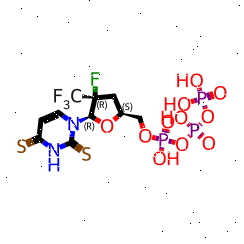 O=P(O)(O)OP(=O)(O)OP(=O)(O)OC[C@@H]1C[C@](F)(C(F)(F)F)[C@H](n2ccc(=S)[nH]c2=S)O1